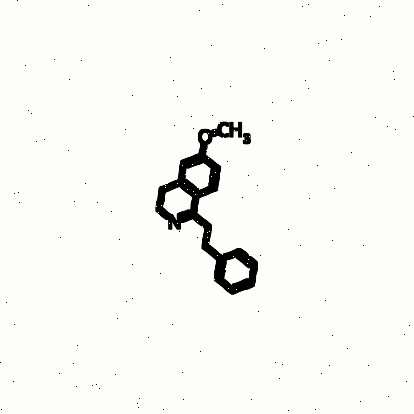 COc1ccc2c(c1)CCN=C2CCc1ccccc1